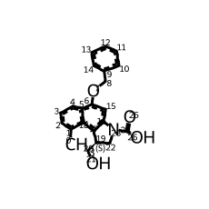 Cc1cccc2c(OCc3ccccc3)cc3c(c12)[C@H](CO)CN3C(=O)O